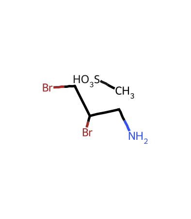 CS(=O)(=O)O.NCC(Br)CBr